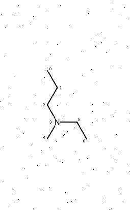 [CH2]CCN(C)CC